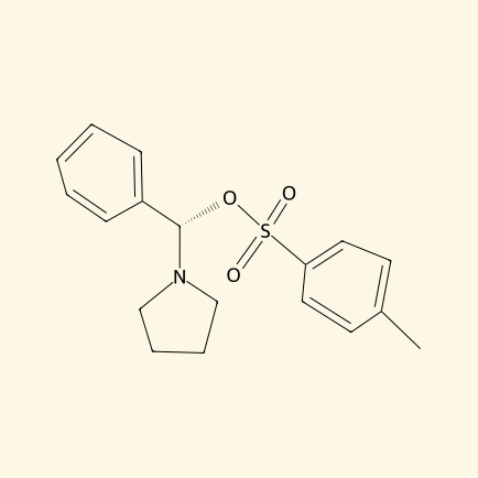 Cc1ccc(S(=O)(=O)O[C@@H](c2ccccc2)N2CCCC2)cc1